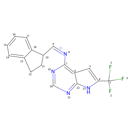 FC(F)(F)c1cc2c(/N=C\C3CCc4ccccc43)ncnc2[nH]1